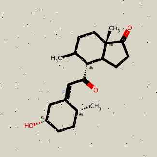 CC1CC[C@]2(C)C(=O)CCC2[C@@H]1C(=O)/C=C1/C[C@@H](O)CC[C@H]1C